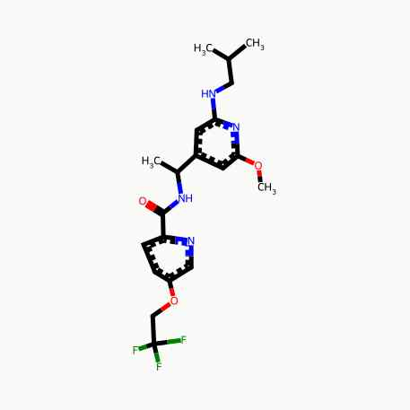 COc1cc(C(C)NC(=O)c2ccc(OCC(F)(F)F)cn2)cc(NCC(C)C)n1